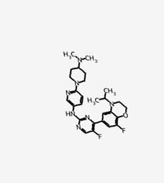 CC(C)N1CCOc2c(F)cc(-c3nc(Nc4ccc(N5CCC(N(C)C)CC5)nc4)ncc3F)cc21